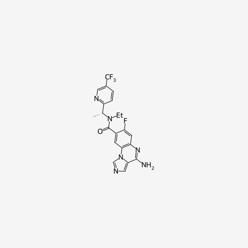 CCN(C(=O)c1cc2c(cc1F)nc(N)c1cncn12)[C@H](C)c1ccc(C(F)(F)F)cn1